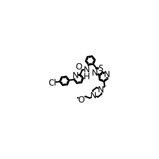 COCCN1CCN(Cc2cnc3sc(-c4ccccc4NC(=O)c4cccc(-c5ccc(Cl)cc5)n4)nc3c2)CC1